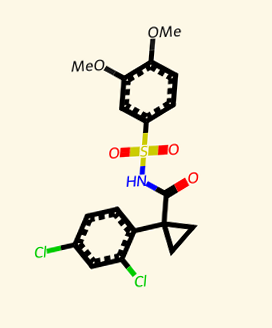 COc1ccc(S(=O)(=O)NC(=O)C2(c3ccc(Cl)cc3Cl)CC2)cc1OC